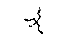 C=CCC(O)(CC=C)CC=O